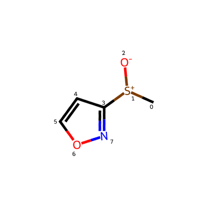 C[S+]([O-])c1ccon1